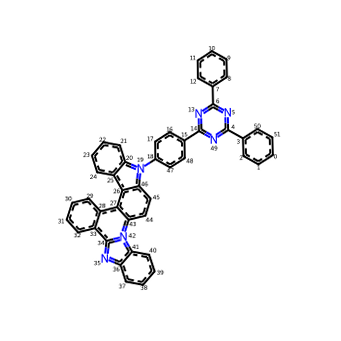 c1ccc(-c2nc(-c3ccccc3)nc(-c3ccc(-n4c5ccccc5c5c6c7ccccc7c7nc8ccccc8n7c6ccc54)cc3)n2)cc1